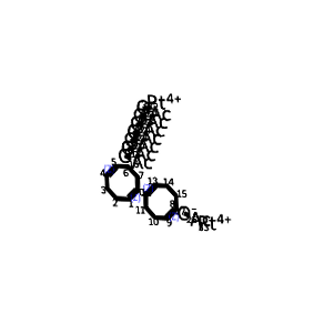 C1=C\CC/C=C\CC/1.C1=C\CC/C=C\CC/1.CC(=O)[O-].CC(=O)[O-].CC(=O)[O-].CC(=O)[O-].CC(=O)[O-].CC(=O)[O-].CC(=O)[O-].CC(=O)[O-].[Pt+4].[Pt+4]